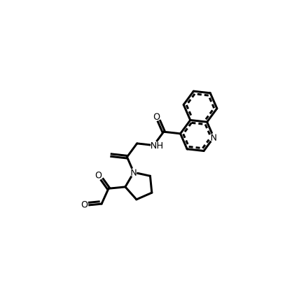 C=C(CNC(=O)c1ccnc2ccccc12)N1CCCC1C(=O)C=O